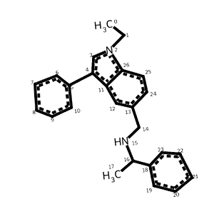 CCn1cc(-c2ccccc2)c2cc(CNC(C)c3ccccc3)ccc21